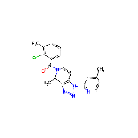 Cc1ccnc(-n2nnc3c2C=CN(C(=O)c2cccc(C(F)(F)F)c2Cl)C3C)c1